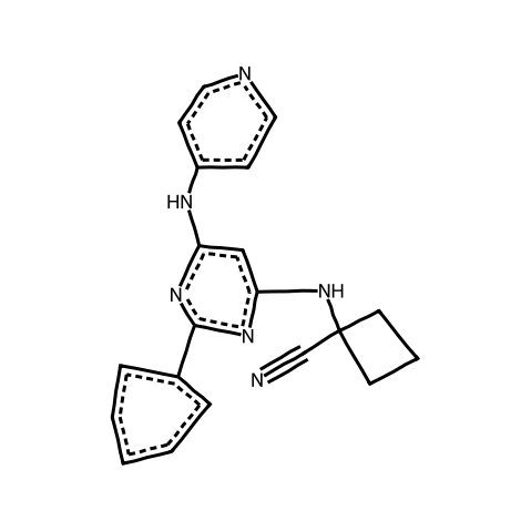 N#CC1(Nc2cc(Nc3ccncc3)nc(-c3ccccc3)n2)CCC1